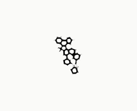 CC1(C)c2cc(-c3cccc(-n4c(-c5ccccc5)nc5ccccc54)c3)c3ccccc3c2-c2c1c1ccccc1c1ccccc21